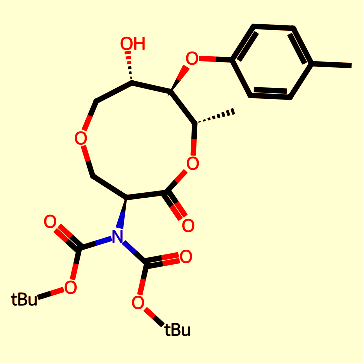 Cc1ccc(O[C@H]2[C@H](C)OC(=O)[C@@H](N(C(=O)OC(C)(C)C)C(=O)OC(C)(C)C)COC[C@@H]2O)cc1